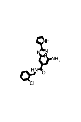 Nc1cc(C(=O)NCc2ccccc2Cl)cc2nc(-c3ccc[nH]3)nn12